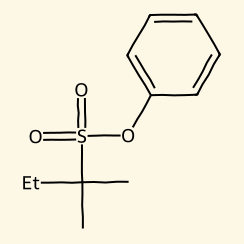 CCC(C)(C)S(=O)(=O)Oc1ccccc1